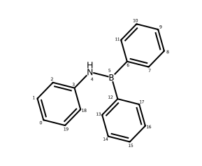 c1ccc(NB(c2ccccc2)c2ccccc2)cc1